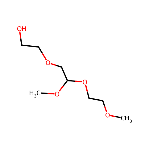 COCCOC(COCCO)OC